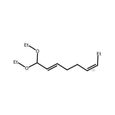 CC/C=C\CCC=CC(OCC)OCC